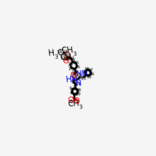 COC(=O)c1ccc(-c2c[nH]c([C@H](Cc3ccccc3)NC(=O)C3CCC(CC(=O)OC(C)(C)C)CC3)n2)cc1